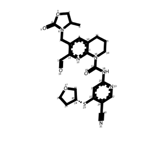 CC1COC(=O)N1Cc1cc2c(nc1C=O)N(C(=O)Nc1cc(S[C@@H]3CCOC3)c(C#N)cn1)CCC2